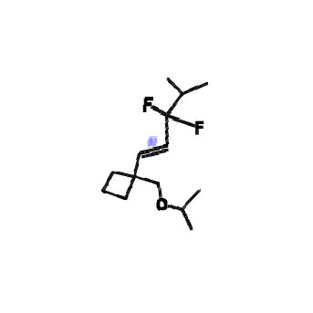 CC(C)OCC1(/C=C/C(F)(F)C(C)C)CCC1